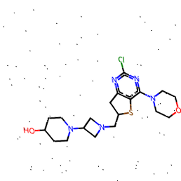 OC1CCN(C2CN(CC3Cc4nc(Cl)nc(N5CCOCC5)c4S3)C2)CC1